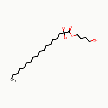 CCCCCCCCCCCCCCCCC(O)(O)C(=O)OCCCCO